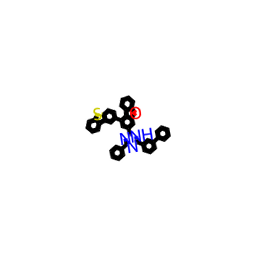 c1ccc(C2=NC(c3cccc(-c4ccccc4)c3)NC(c3cc(-c4ccc5sc6ccccc6c5c4)c4c(c3)oc3ccccc34)=N2)cc1